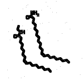 CCCCCCCC/C=C\CCCCCCCC(=O)NCC.CCCCCCCC/C=C\CCCCCCCCCCCC(N)=O